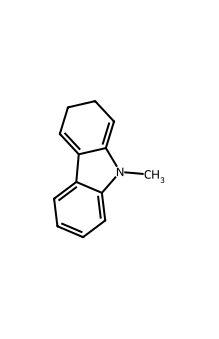 Cn1c2c(c3ccccc31)=CCCC=2